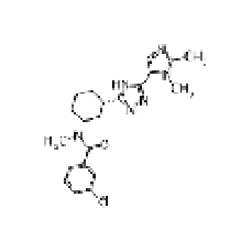 Cc1ncc(-c2nnc([C@H]3CCC[C@@H](N(C)C(=O)c4cccc(Cl)c4)C3)[nH]2)n1C